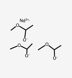 COC(C)[O-].COC(C)[O-].COC(C)[O-].[Nd+3]